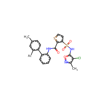 CC(=O)c1cc(C)ccc1-c1ccccc1NC(=O)c1sccc1S(=O)(=O)Nc1onc(C)c1Cl